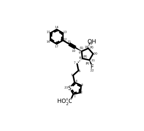 O=C(O)c1ccc(CCC[C@@H]2[C@@H](C#Cc3ccccc3)[C@H](O)C[C@H]2F)s1